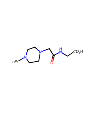 CCCN1CCN(CC(=O)NCC(=O)O)CC1